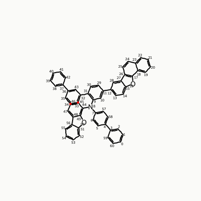 c1ccc(-c2ccc(N(c3cc(-c4ccc5oc6c7ccccc7ccc6c5c4)ccc3-c3cccc(-c4ccccc4)c3)c3cccc4c3oc3ccccc34)cc2)cc1